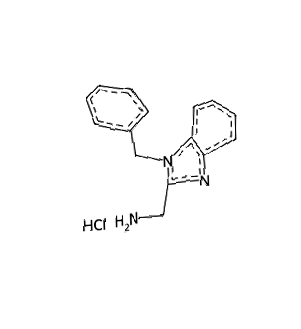 Cl.NCc1nc2ccccc2n1Cc1ccccc1